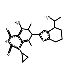 CC1=c2c(c(=O)[nH]c(=O)n2C2CC2)=C(N)C(F)C1c1cc2c(s1)CCCC2C(C)N